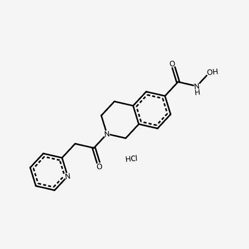 Cl.O=C(NO)c1ccc2c(c1)CCN(C(=O)Cc1ccccn1)C2